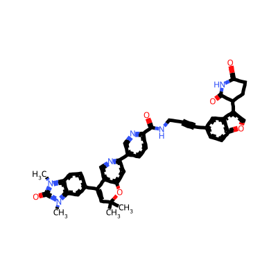 Cn1c(=O)n(C)c2cc(C3=CC(C)(C)Oc4cc(-c5ccc(C(=O)NCC#Cc6ccc7occ(C8CCC(=O)NC8=O)c7c6)nc5)ncc43)ccc21